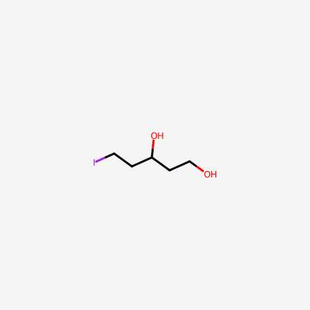 OCCC(O)CCI